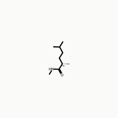 CNC(=O)[C@@H](C)CCC(C)C